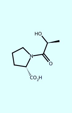 C[C@H](O)C(=O)N1CCC[C@H]1C(=O)O